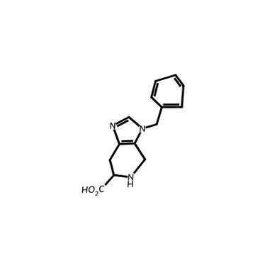 O=C(O)C1Cc2ncn(Cc3ccccc3)c2CN1